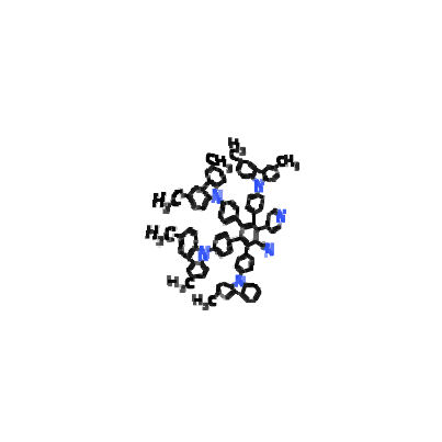 Cc1ccc2c(c1)c1ccccc1n2-c1ccc(-c2c(C#N)c(-c3ccncc3)c(-c3ccc(-n4c5ccc(C)cc5c5cc(C)ccc54)cc3)c(-c3ccc(-n4c5ccc(C)cc5c5cc(C)ccc54)cc3)c2-c2ccc(-n3c4ccc(C)cc4c4cc(C)ccc43)cc2)cc1